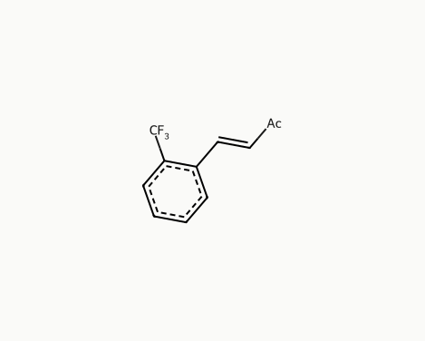 CC(=O)/C=C/c1ccccc1C(F)(F)F